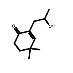 CC(O)CC1=CC(C)(C)CCC1=O